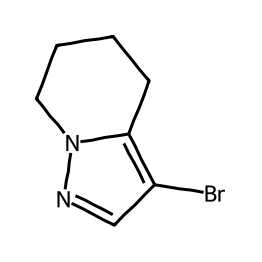 Brc1cnn2c1CCCC2